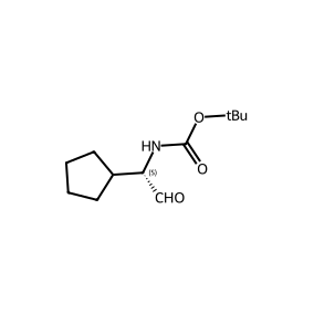 CC(C)(C)OC(=O)N[C@H](C=O)C1CCCC1